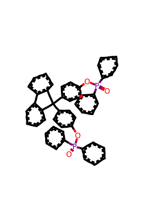 O=P(Oc1ccc(C2(c3ccc(OP(=O)(c4ccccc4)c4ccccc4)cc3)c3ccccc3-c3ccccc32)cc1)(c1ccccc1)c1ccccc1